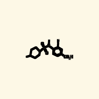 CC1CCC(S(=O)(=O)N(C)c2ccc(C(=O)O)cc2F)CC1